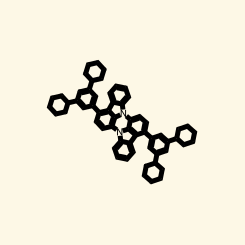 c1ccc2c(c1)c1c(-c3cc(C4CCCCC4)cc(C4CCCCC4)c3)ccc3c1n2c1ccc(-c2cc(C4CCCCC4)cc(C4CCCCC4)c2)c2c4ccccc4n3c21